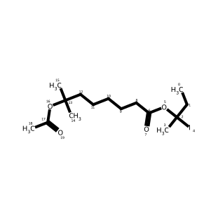 CCC(C)(I)OC(=O)CCCCCC(C)(C)OC(C)=O